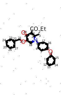 CCOC(=O)c1c(C)n(-c2ccc(Oc3ccccc3)cc2)cc(OCc2ccccc2)c1=O